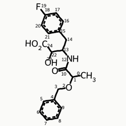 CC(OCc1ccccc1)C(=O)NC(Cc1ccc(F)cc1)C(O)C(=O)O